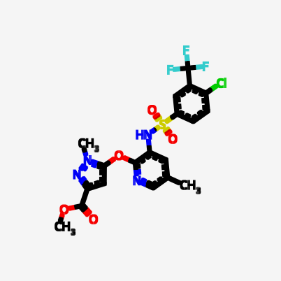 COC(=O)c1cc(Oc2ncc(C)cc2NS(=O)(=O)c2ccc(Cl)c(C(F)(F)F)c2)n(C)n1